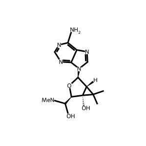 CNC(O)[C@H]1O[C@@H](n2cnc3c(N)ncnc32)[C@@H]2C(C)(C)[C@@]12O